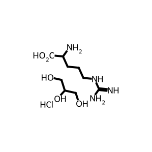 Cl.N=C(N)NCCCC(N)C(=O)O.OCC(O)CO